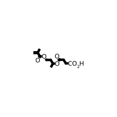 C=C(C)C(=O)OCCC(C)OC(=O)CCC(=O)O